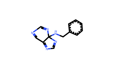 C1=NC=NC2(NCc3ccccc3)N=CN=C12